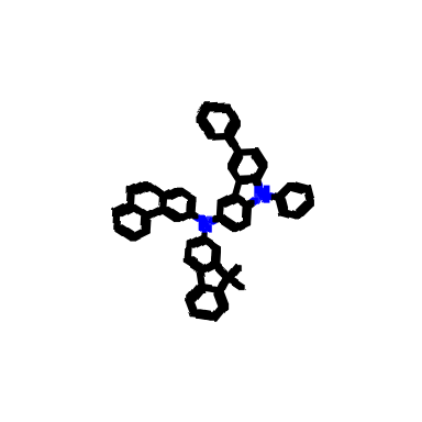 CC1(C)c2ccccc2-c2ccc(N(c3ccc4ccc5ccccc5c4c3)c3ccc4c(c3)c3cc(-c5ccccc5)ccc3n4-c3ccccc3)cc21